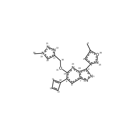 Cc1cc(-c2nnc3cc(C4=CC=C4)c(OCc4cn(C)nn4)nn23)no1